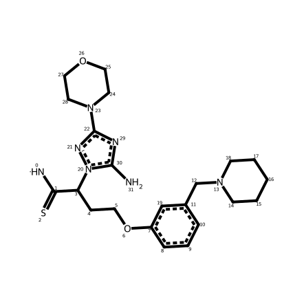 [NH]C(=S)C(CCOc1cccc(CN2CCCCC2)c1)n1nc(N2CCOCC2)nc1N